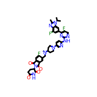 Cc1nc2c(F)cc(-c3nc(Nc4ccc(N5CCC(N(C)Cc6cc7c(cc6F)C(=O)N(C6CCC(=O)NC6=O)C7=O)CC5)cn4)ncc3F)cc2n1C(C)C